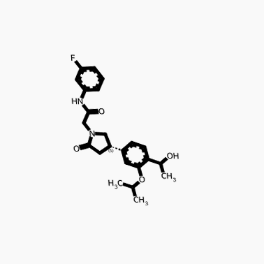 CC(C)Oc1cc([C@@H]2CC(=O)N(CC(=O)Nc3cccc(F)c3)C2)ccc1C(C)O